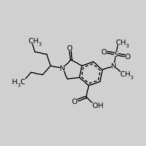 CCCC(CCC)N1Cc2c(C(=O)O)cc(N(C)S(C)(=O)=O)cc2C1=O